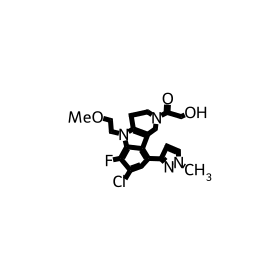 COCCn1c2c(c3c(-c4ccn(C)n4)cc(Cl)c(F)c31)CN(C(=O)CO)CC2